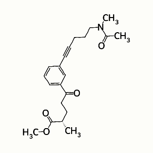 COC(=O)[C@@H](C)CCC(=O)c1cccc(C#CCCCN(C)C(C)=O)c1